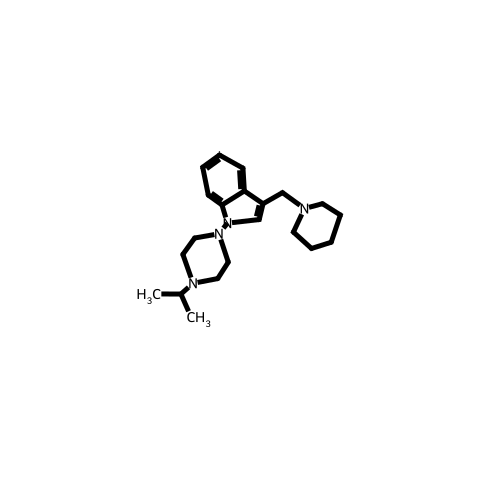 CC(C)N1CCN(n2cc(CN3CCCCC3)c3c[c]ccc32)CC1